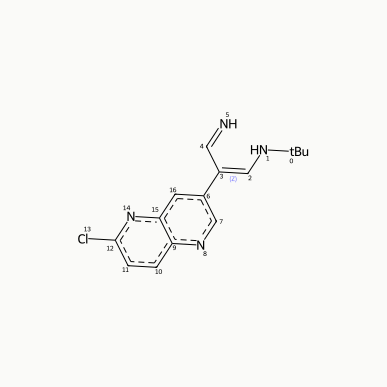 CC(C)(C)N/C=C(\C=N)c1cnc2ccc(Cl)nc2c1